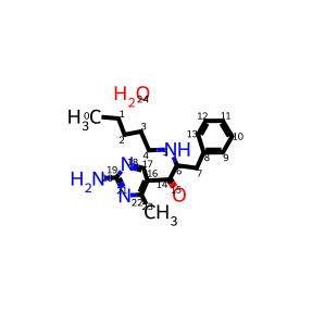 CCCCCNC(Cc1ccccc1)C(=O)c1cnc(N)nc1C.O